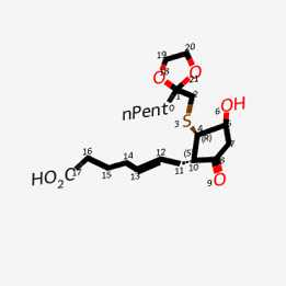 CCCCCC1(CS[C@H]2C(O)CC(=O)[C@@H]2CC=CCCCC(=O)O)OCCO1